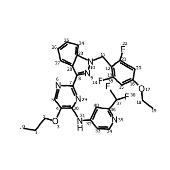 [CH2]CCOc1cnc(-c2nn(Cc3c(F)cc(OCC)cc3F)c3ccccc23)nc1Nc1ccnc(C(F)F)c1